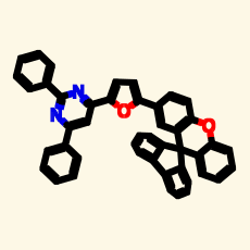 c1ccc(-c2cc(-c3ccc(-c4ccc5c(c4)C4(c6ccccc6O5)c5ccccc5-c5ccccc54)o3)nc(-c3ccccc3)n2)cc1